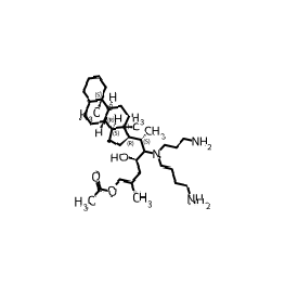 CC(=O)OCC(C)CC(O)C([C@@H](C)[C@H]1CC[C@H]2[C@@H]3CCC4CCCC[C@]4(C)[C@H]3CC[C@]12C)N(CCCN)CCCCN